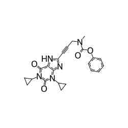 CN(CC#Cc1nc2c([nH]1)c(=O)n(C1CC1)c(=O)n2C1CC1)C(=O)Oc1ccccc1